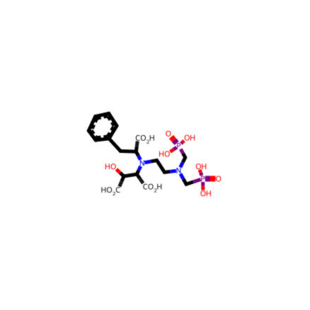 O=C(O)C(O)C(C(=O)O)N(CCN(CP(=O)(O)O)CP(=O)(O)O)C(Cc1ccccc1)C(=O)O